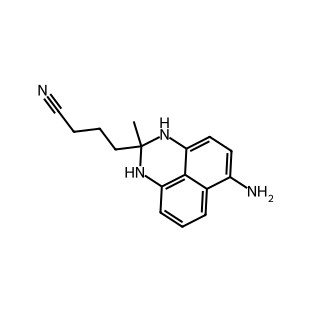 CC1(CCCC#N)Nc2cccc3c(N)ccc(c23)N1